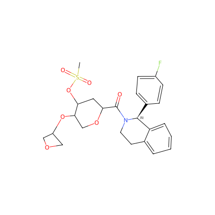 CS(=O)(=O)OC1CC(C(=O)N2CCc3ccccc3[C@@H]2c2ccc(F)cc2)OCC1OC1COC1